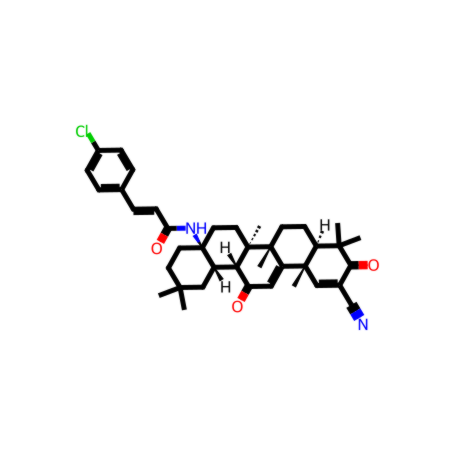 CC1(C)CC[C@]2(NC(=O)/C=C/c3ccc(Cl)cc3)CC[C@]3(C)[C@H](C(=O)C=C4[C@@]5(C)C=C(C#N)C(=O)C(C)(C)[C@@H]5CC[C@]43C)[C@@H]2C1